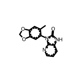 Cc1cc2c(cc1-n1c(=O)[nH]c3cccnc31)OCO2